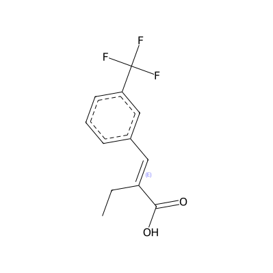 CC/C(=C\c1cccc(C(F)(F)F)c1)C(=O)O